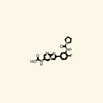 O=C(O)Nc1cnc2nc(-c3ccc(F)c(NC(=O)N4CCCC4)c3)cn2c1